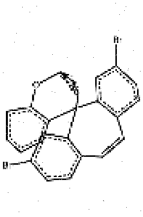 Brc1ccc2c(c1)C1(c3cc(Br)ccc3C=C2)c2ccccc2Oc2ccccc21